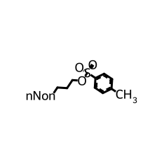 CCCCCCCCCCCCOS(=O)(=O)c1ccc(C)cc1